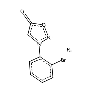 O=c1c[n+](-c2ccccc2Br)[n-]o1.[N]